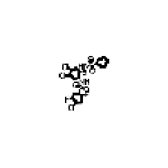 O=S(=O)(NSc1cc(Cl)c(Cl)cc1NS(=O)(=O)c1cc(F)c(Cl)cc1F)c1ccccc1